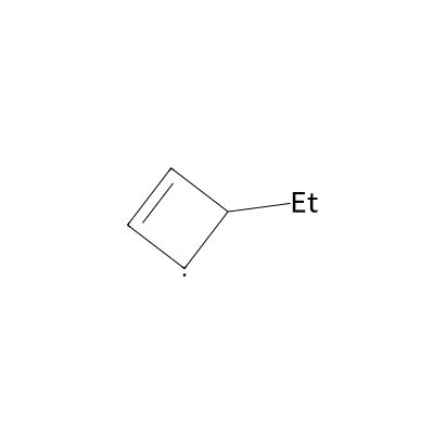 [CH2]CC1[CH]C=C1